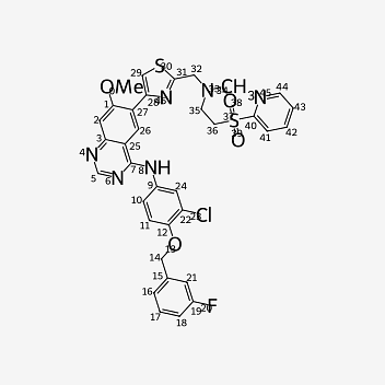 COc1cc2ncnc(Nc3ccc(OCc4cccc(F)c4)c(Cl)c3)c2cc1-c1csc(CN(C)CCS(=O)(=O)c2ccccn2)n1